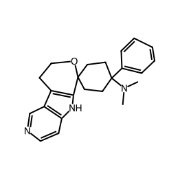 CN(C)C1(c2ccccc2)CCC2(CC1)OCCc1c2[nH]c2ccncc12